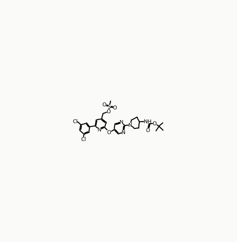 CC(C)(C)OC(=O)NC1CCN(c2ncc(Oc3cc(COS(C)(=O)=O)cc(-c4cc(Cl)cc(Cl)c4)n3)cn2)CC1